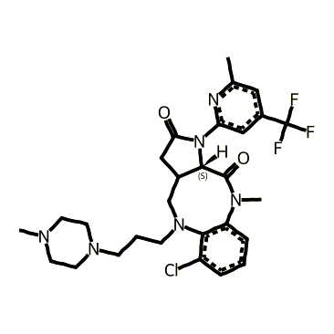 Cc1cc(C(F)(F)F)cc(N2C(=O)CC3CN(CCCN4CCN(C)CC4)c4c(Cl)cccc4N(C)C(=O)[C@H]32)n1